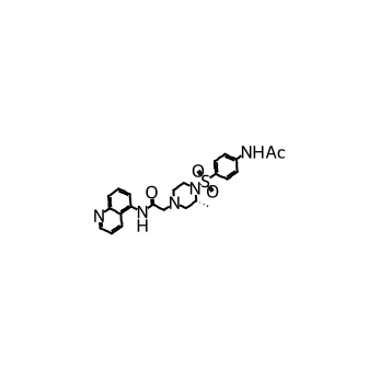 CC(=O)Nc1ccc(S(=O)(=O)N2CCN(CC(=O)Nc3cccc4ncccc34)C[C@H]2C)cc1